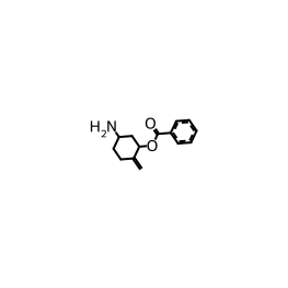 C=C1CCC(N)CC1OC(=O)c1ccccc1